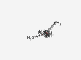 CCCCCCCCCCCCCC(=O)C(C(CC)(OP(=O)([O-])O)C(=O)CCCCCCCCCCCCC)[N+](C)(C)C